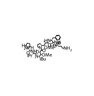 CC[C@H](C)[C@@H]([C@@H](CC(=O)N1CCC[C@H]1[C@H](OC)[C@@H](C)C(=O)N[C@@H](Cc1ccccc1)C(=O)NS(=O)(=O)CCCN)OC)N(C)C(=O)[C@@H](NC(=O)[C@@H]1[C@H]2CC[C@H](C2)N1C)C(C)C